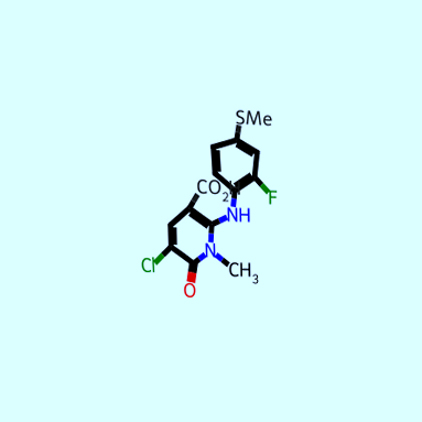 CSc1ccc(Nc2c(C(=O)O)cc(Cl)c(=O)n2C)c(F)c1